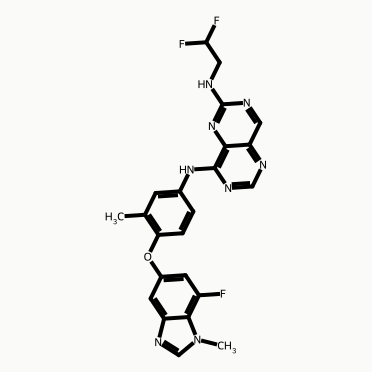 Cc1cc(Nc2ncnc3cnc(NCC(F)F)nc23)ccc1Oc1cc(F)c2c(c1)ncn2C